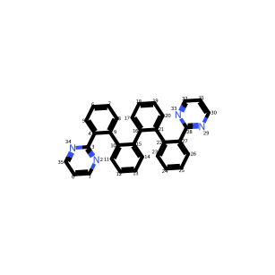 c1cnc(-c2ccccc2-c2ccccc2-c2ccccc2-c2ccccc2-c2ncccn2)nc1